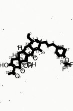 CCc1cc(CCCc2ccc(OC(F)(F)F)cc2)c(C)c2c1C[C@H]1C[C@H]3CC(O)=C(C(C)=O)C(=O)[C@@]3(O)C(O)=C1C2=O